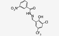 O=C(N/N=C/c1cc(C(F)(F)F)cc(Cl)c1O)c1cccc([N+](=O)[O-])c1